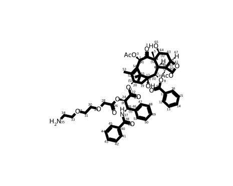 CC(=O)O[C@H]1C(=O)[C@@]2(C)[C@H]([C@H](OC(=O)c3ccccc3)[C@]3(O)C[C@H](OC(=O)[C@H](OC(=O)COCCOCCN)[C@@H](NC(=O)c4ccccc4)c4ccccc4)C(C)=C1C3(C)C)[C@]1(OC(C)=O)CO[C@@H]1C[C@@H]2O